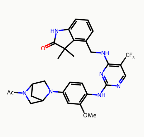 COc1cc(N2CC3CC2CN3C(C)=O)ccc1Nc1ncc(C(F)(F)F)c(NCc2cccc3c2C(C)(C)C(=O)N3)n1